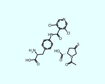 CC(=O)N1CC(=S)C[C@H]1C(=O)O.N[C@@H](Cc1ccc(NC(=O)c2c(Cl)cncc2Cl)cc1)C(=O)O